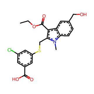 CCOC(=O)c1c(CSc2cc(Cl)cc(C(=O)O)c2)n(C)c2ccc(CO)cc12